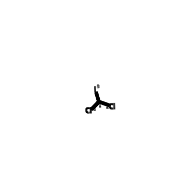 Cl[C](Cl)I